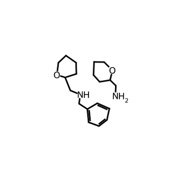 NCC1CCCCO1.c1ccc(CNCC2CCCCO2)cc1